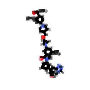 COC(=O)c1ccc(N2CCC(COC3CN(c4cc5c(c(C(F)(F)F)c4)CN(c4cccc(C6(Cc7nncn7C)COC6)c4)C5=O)C3)CC2)cc1C=O